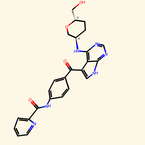 O=C(Nc1ccc(C(=O)c2c[nH]c3ncnc(N[C@@H]4CC[C@@H](CO)OC4)c23)cc1)c1ccccn1